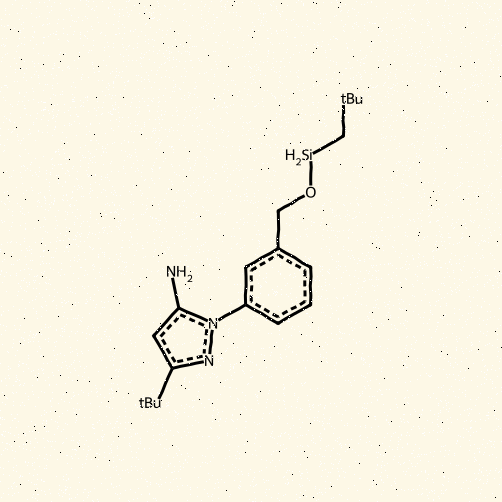 CC(C)(C)C[SiH2]OCc1cccc(-n2nc(C(C)(C)C)cc2N)c1